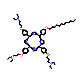 CCCCCCCCCCCCOc1ccc(C2=C3C=CC(=N3)C(c3ccc(OCCCN(CC)CC)cc3)=C3C=CC(=N3)C(c3ccc(OCCCN(CC)CC)cc3)=C3C=CC(=N3)C(c3ccc(OCCCN(CC)CC)cc3)=C3C=CC2=N3)cc1